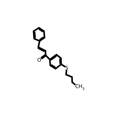 CCCCSc1ccc(C(=O)C=Cc2ccccc2)cc1